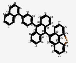 c1ccc2c(-c3ccc(-c4c5ccccc5c(-c5cc6cccc7sc8cccc5c8c67)c5ccccc45)cc3)cccc2c1